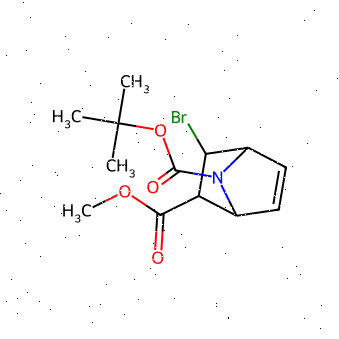 COC(=O)C1C(Br)C2C=CC1N2C(=O)OC(C)(C)C